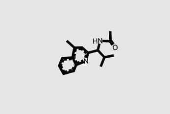 CC(=O)NC(c1cc(C)c2ccccc2n1)C(C)C